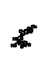 CC(OCc1cc(Cl)c(OC(=O)C(C)(C)C)cc1Cl)O[C@@H]1[C@H](O)[C@@H](CO)O[C@H]1n1ccc(=O)[nH]c1=O